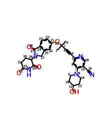 CC(C)(C#Cc1cc(N2CCC(O)CC2)c(C#N)cn1)Oc1ccc2c(c1)CN(C1CCC(=O)NC1=O)C2=O